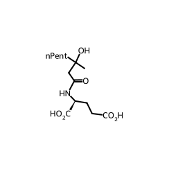 CCCCCC(C)(O)CC(=O)N[C@@H](CCC(=O)O)C(=O)O